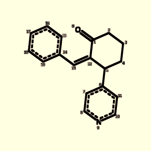 O=C1CCCC(c2ccncc2)C1=Cc1ccccc1